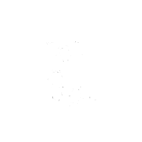 COc1cc(-c2cnc3[nH]cc(-c4ccc(F)cc4)c3c2)cc(OC)c1OC